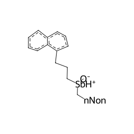 CCCCCCCCC[CH2][SbH+]([O-])[CH2]CCc1cccc2ccccc12